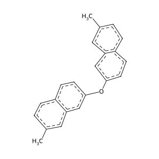 Cc1ccc2ccc(Oc3ccc4ccc(C)cc4c3)cc2c1